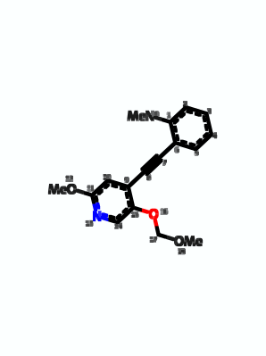 CNc1ccccc1C#Cc1cc(OC)ncc1OCOC